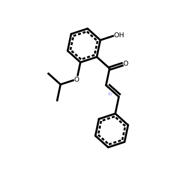 CC(C)Oc1cccc(O)c1C(=O)/C=C/c1ccccc1